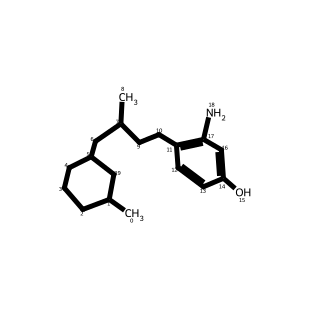 CC1CCCC(CC(C)CCc2ccc(O)cc2N)C1